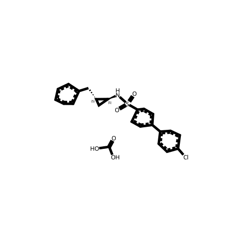 O=C(O)O.O=S(=O)(N[C@H]1C[C@@H]1Cc1ccccc1)c1ccc(-c2ccc(Cl)cc2)cc1